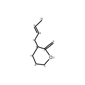 C=C1OCCCC1C/C=C/C